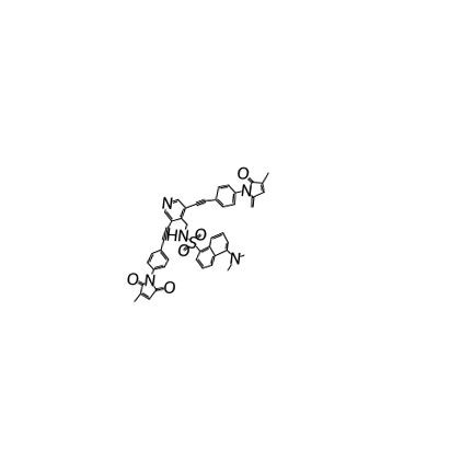 C=C1C=C(C)C(=O)N1c1ccc(C#Cc2cncc(C#Cc3ccc(N4C(=O)C=C(C)C4=O)cc3)c2CNS(=O)(=O)c2cccc3c(N(C)C)cccc23)cc1